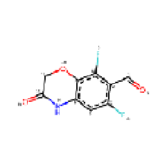 O=Cc1c(F)cc2c(c1F)OCC(=O)N2